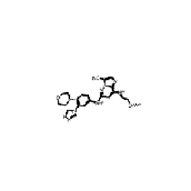 COCCNc1cc(Nc2ccc(N3CCOCC3)c(-n3cnnc3)c2)nn2c(C#N)cnc12